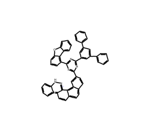 N=C1C=Cc2ccc3ccc(-c4nc(-c5cc(-c6ccccc6)cc(-c6ccccc6)c5)nc(-c5cccc6oc7ccccc7c56)n4)cc3c2/C1=N/Nc1ccccc1